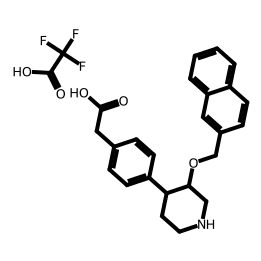 O=C(O)C(F)(F)F.O=C(O)Cc1ccc(C2CCNCC2OCc2ccc3ccccc3c2)cc1